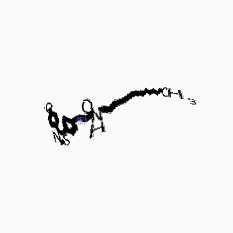 CCCCCCCCCCCCNC(=O)/C=C/c1ccc(-c2scnc2-c2ccc([O])cc2)cc1